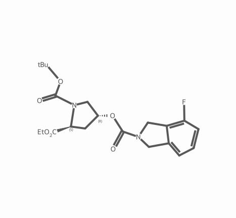 CCOC(=O)[C@@H]1C[C@@H](OC(=O)N2Cc3cccc(F)c3C2)CN1C(=O)OC(C)(C)C